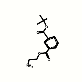 CC(C)(C)OC(=O)c1cccc(C(=O)OCCN)c1